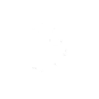 COC(=O)C1CCN(C2CCCn3nc(C(=O)Nc4cccc(B5OC(C)(C)C(C)(C)O5)c4Cl)cc32)CC1